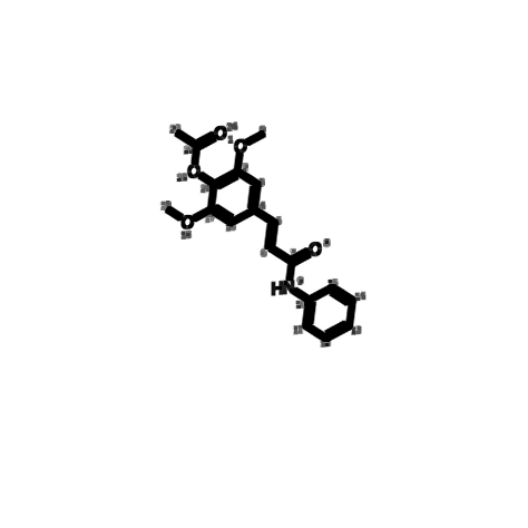 COc1cc(/C=C/C(=O)Nc2ccccc2)cc(OC)c1OC(C)=O